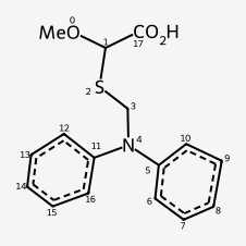 COC(SCN(c1ccccc1)c1ccccc1)C(=O)O